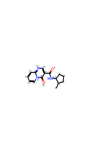 CC1CCCC1NC(=O)c1cnc2ccccn2c1=O